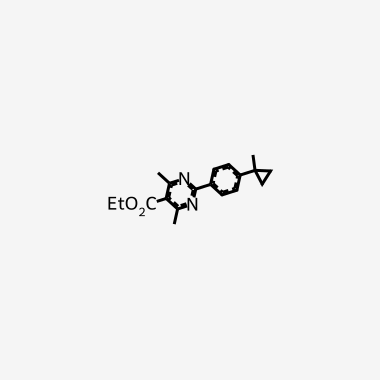 CCOC(=O)c1c(C)nc(-c2ccc(C3(C)CC3)cc2)nc1C